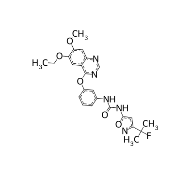 CCOc1cc2c(Oc3cccc(NC(=O)Nc4cc(C(C)(C)F)no4)c3)ncnc2cc1OC